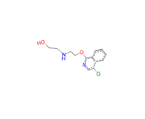 OCCNCCOc1ncc(Cl)c2ccccc12